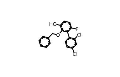 Oc1ccc(F)c(-c2ccc(Cl)cc2Cl)c1OCc1ccccc1